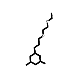 CCOCCOCCCC1C[C](C)CC(C)C1